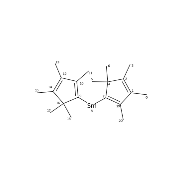 CC1=C(C)C(C)(C)[C]([Sm][C]2=C(C)C(C)=C(C)C2(C)C)=C1C